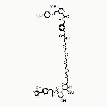 COc1cnc(C(=O)NCc2cccc(CC(=O)NCCOCCOCCOCCOCCOCC(=O)NC(C(=O)N3C[C@H](O)C[C@H]3C(=O)NCc3ccc(-c4scnc4C)cc3)C(C)(C)C)c2)cc1/C=C/[C@H]1CC[C@H](C(F)(F)F)CC1